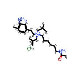 CC(=O)NCCCCCC[N+](CCc1ccc(C)c(N)c1)(CC(C)C)CC(C)C.[Cl-]